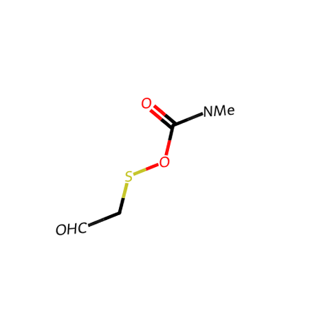 CNC(=O)OSCC=O